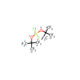 FC(F)(F)C(OS(F)(F)OC(C(F)(F)F)(C(F)(F)F)C(F)(F)F)(C(F)(F)F)C(F)(F)F